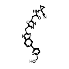 N#CC1(NC(=O)Cc2nnc(Cc3nc4ccc(-c5ccc(CO)s5)cc4s3)o2)CC1